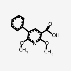 COc1nc(OC)c(-c2ccccc2)cc1C(=O)O